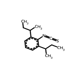 CCC(C)c1cccc(C(C)CC)c1N=C=S